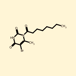 CCCCCCCC(=O)n1c(C)c(Br)c(=O)[nH]c1=O